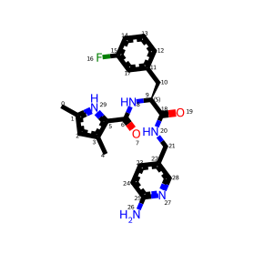 Cc1cc(C)c(C(=O)N[C@@H](Cc2cccc(F)c2)C(=O)NCc2ccc(N)nc2)[nH]1